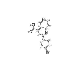 O=C(Cl)c1cc(-c2ccc(Br)cc2)nc2ccncc12